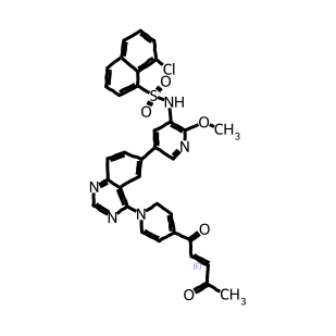 COc1ncc(-c2ccc3ncnc(N4C=CC(C(=O)/C=C/C(C)=O)=CC4)c3c2)cc1NS(=O)(=O)c1cccc2cccc(Cl)c12